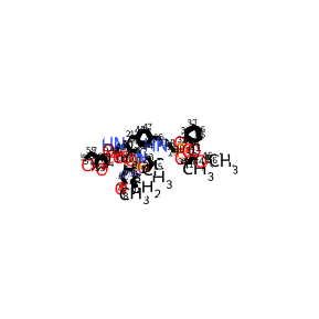 C=C/C=C(\C=C/COC)S(=O)(=O)N(CC(C)C)C[C@@H](O)[C@H](Cc1ccc(CNCCP(=O)(Oc2ccccc2)O[C@@H](C)C(=O)OCC)cc1)NC(=O)O[C@H]1COC2OCCC21